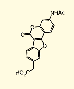 CC(=O)Nc1ccc2c(c1)oc(=O)c1c3ccc(CC(=O)O)cc3oc21